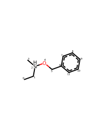 CC[SiH](C)OCc1ccccc1